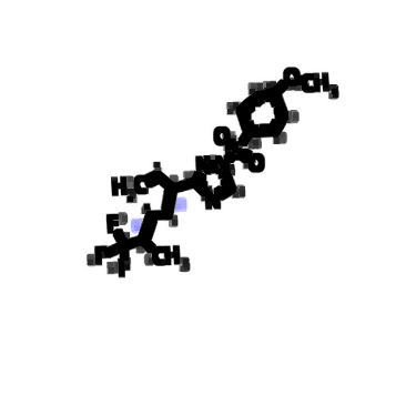 C=C/C(=C\C=C(/C)C(F)(F)F)c1ncn(S(=O)(=O)c2ccc(OC)cc2)n1